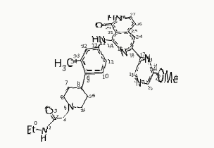 CCNC(=O)CN1CCC(c2ccc(Nc3nc(-c4cncc(OC)n4)cc4cc[nH]c(=O)c34)cc2C)CC1